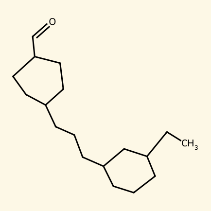 CCC1CCCC(CCCC2CCC(C=O)CC2)C1